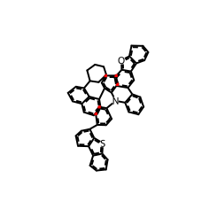 c1ccc(N(c2ccc(-c3cccc4c3sc3ccccc34)cc2)c2ccccc2-c2cccc3cccc(C4CCCCC4)c23)c(-c2ccc3oc4ccccc4c3c2)c1